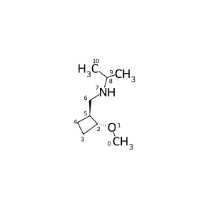 CO[C@@H]1CC[C@H]1CNC(C)C